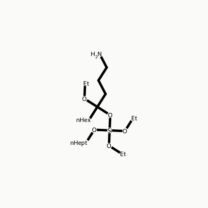 CCCCCCCO[Si](OCC)(OCC)OC(CCCN)(CCCCCC)OCC